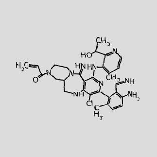 C=CC(=O)N1CCN2C(=N)c3c(Nc4c(C)ccnc4C(C)O)nc(-c4c(C)ccc(N)c4C=N)c(Cl)c3NCC2C1